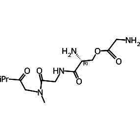 CC(C)C(=O)CN(C)C(=O)CNC(=O)[C@H](N)COC(=O)CN